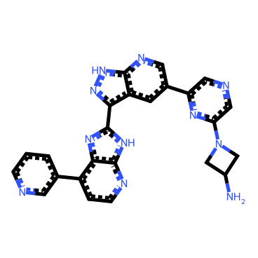 NC1CN(c2cncc(-c3cnc4[nH]nc(-c5nc6c(-c7cccnc7)ccnc6[nH]5)c4c3)n2)C1